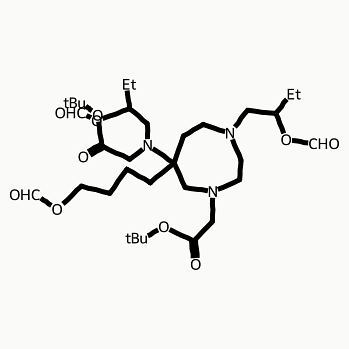 CCC(CN1CCN(CC(=O)OC(C)(C)C)CC(CCCCOC=O)(N(CC(=O)OC(C)(C)C)CC(CC)OC=O)CC1)OC=O